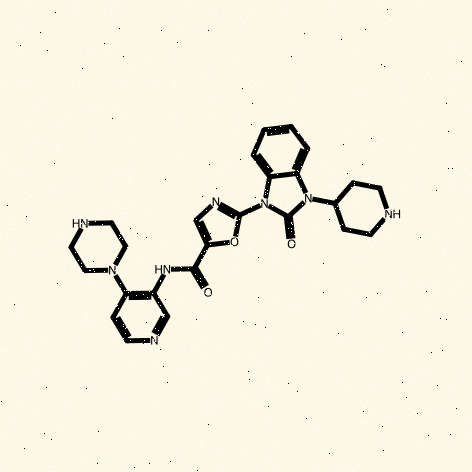 O=C(Nc1cnccc1N1CCNCC1)c1cnc(-n2c(=O)n(C3CCNCC3)c3ccccc32)o1